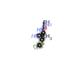 CCNCC(=O)Nc1ccc(C)c(C2(Cc3ccc(Sc4ccc(Cl)cc4)cc3)CCNCC2)c1